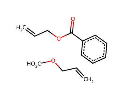 C=CCOC(=O)O.C=CCOC(=O)c1ccccc1